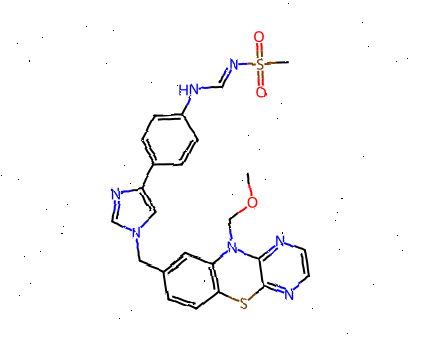 COCN1c2cc(Cn3cnc(-c4ccc(NC=NS(C)(=O)=O)cc4)c3)ccc2Sc2nccnc21